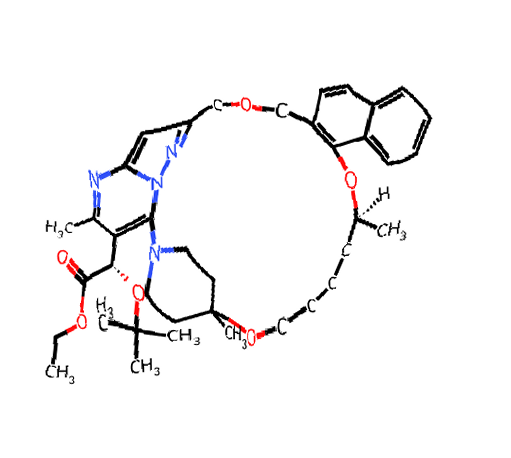 CCOC(=O)[C@@H](OC(C)(C)C)c1c(C)nc2cc3nn2c1N1CCC(C)(CC1)OCCCC[C@H](C)Oc1c(ccc2ccccc12)COC3